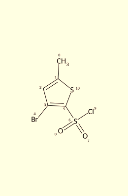 Cc1cc(Br)c(S(=O)(=O)Cl)s1